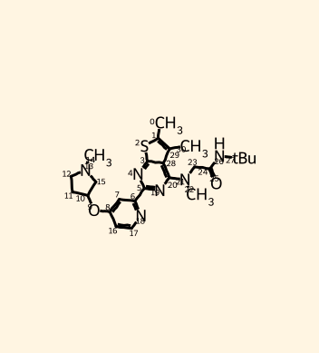 Cc1sc2nc(-c3cc(OC4CCN(C)C4)ccn3)nc(N(C)CC(=O)NC(C)(C)C)c2c1C